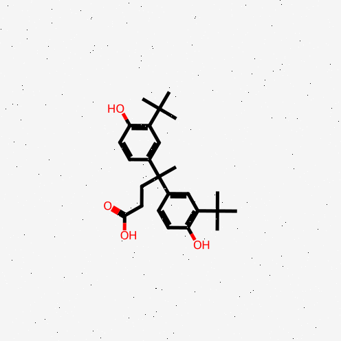 CC(C)(C)c1cc(C(C)(CCC(=O)O)c2ccc(O)c(C(C)(C)C)c2)ccc1O